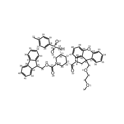 COCCOCC1(CNC(=O)[C@H]2C[C@@H](NS(=O)(=O)c3ccc(C)cc3)CN(C(=O)OCC3c4ccccc4-c4ccccc43)C2)c2ccccc2Oc2ccccc21